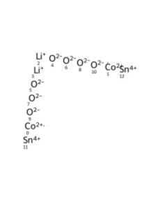 [Co+2].[Co+2].[Li+].[Li+].[O-2].[O-2].[O-2].[O-2].[O-2].[O-2].[O-2].[Sn+4].[Sn+4]